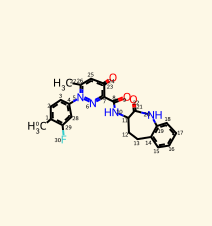 Cc1ccc(-n2nc(C(=O)NC3CCc4ccccc4NC3=O)c(=O)cc2C)cc1F